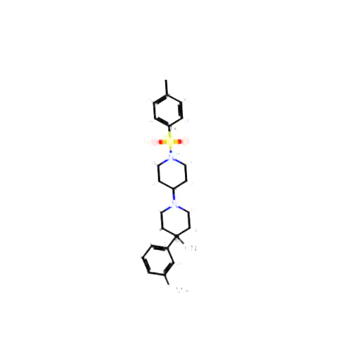 COc1cccc(C2(C#N)CCN(C3CCN(S(=O)(=O)c4ccc(C)cc4)CC3)CC2)c1